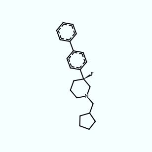 F[C@]1(c2ccc(-c3ccccc3)cc2)CCCN(CC2CCCC2)C1